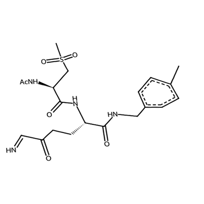 CC(=O)N[C@@H](CS(C)(=O)=O)C(=O)N[C@@H](CCC(=O)C=N)C(=O)NCc1ccc(C)cc1